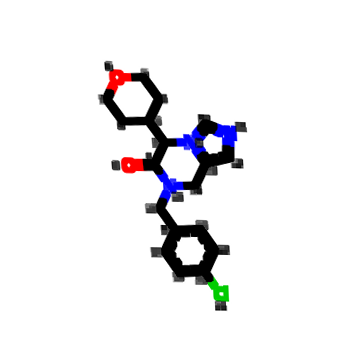 O=C1C(C2CCOCC2)n2cncc2CN1Cc1ccc(Cl)cc1